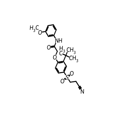 COc1cccc(NC(=O)COc2ccc(S(=O)(=O)CCC#N)cc2C(C)(C)C)c1